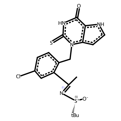 C/C(=N\[S@+]([O-])C(C)(C)C)c1cc(Cl)ccc1Cn1c(=S)[nH]c(=O)c2[nH]ccc21